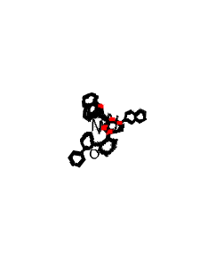 c1ccc(-c2nc(-c3ccc4ccccc4c3)nc(-c3cccc4oc5c(-c6ccccc6)ccc(-n6c7ccccc7c7cc8ccccc8cc76)c5c34)n2)cc1